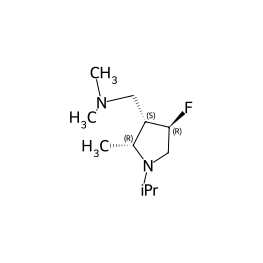 CC(C)N1C[C@H](F)[C@@H](CN(C)C)[C@H]1C